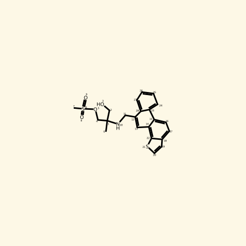 CC(CO)(COS(C)(=O)=O)NCc1cc2c(ccc3ccsc32)c2ccccc12